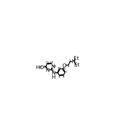 CCN(CC)CCOc1cccc(Nc2nccc(O)n2)c1